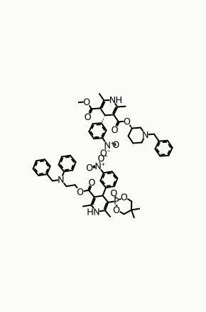 CC1=C(C(=O)OCCN(Cc2ccccc2)c2ccccc2)C(c2cccc([N+](=O)[O-])c2)C(P2(=O)OCC(C)(C)CO2)=C(C)N1.COC(=O)C1=C(C)NC(C)=C(C(=O)O[C@@H]2CCCN(Cc3ccccc3)C2)[C@@H]1c1cccc([N+](=O)[O-])c1